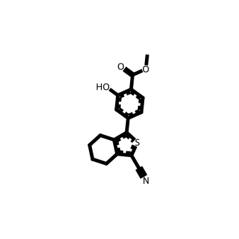 COC(=O)c1ccc(-c2sc(C#N)c3c2CCCC3)cc1O